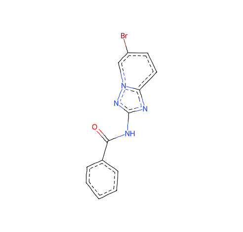 O=C(Nc1nc2ccc(Br)cn2n1)c1ccccc1